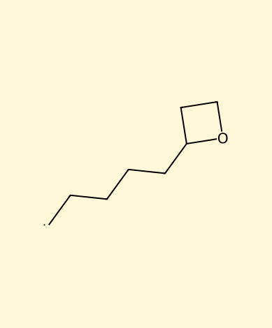 [CH2]CCCCC1CCO1